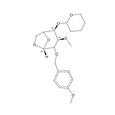 COc1ccc(COC2[C@@H]3OCC(O3)[C@@H](OC3CCCCO3)[C@H]2OC)cc1